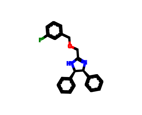 Fc1cccc(COCC2=N[C@@H](c3ccccc3)[C@@H](c3ccccc3)N2)c1